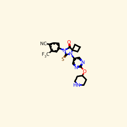 N#Cc1ccc(N2C(=O)C3(CCC3)N(c3cnc(OC4CCNCC4)nc3)C2=S)cc1C(F)(F)F